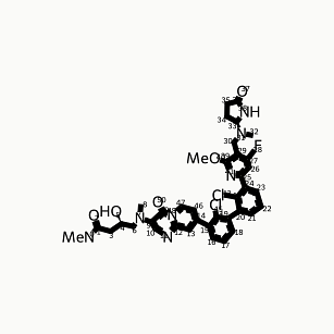 CNC(=O)C[C@H](O)CN(C)c1cnc2cc(-c3cccc(-c4cccc(-c5cc(F)c(CN(C)[C@H]6CCC(=O)N6)c(OC)n5)c4Cl)c3Cl)ccn2c1=O